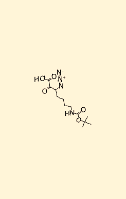 CC(C)(C)OC(=O)NCCCCC(N=[N+]=[N-])C(=O)C(=O)O